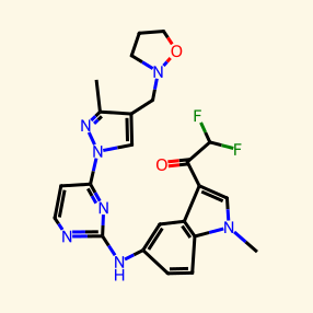 Cc1nn(-c2ccnc(Nc3ccc4c(c3)c(C(=O)C(F)F)cn4C)n2)cc1CN1CCCO1